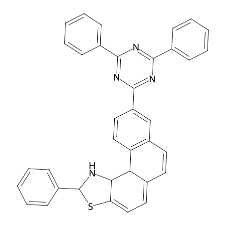 C1=Cc2cc(-c3nc(-c4ccccc4)nc(-c4ccccc4)n3)ccc2C2C1=CC=C1SC(c3ccccc3)NC12